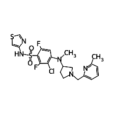 Cc1cccc(CN2CCC(N(C)c3cc(F)c(S(=O)(=O)Nc4cscn4)c(F)c3Cl)C2)n1